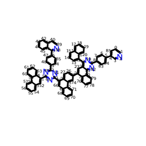 c1cncc(-c2ccc(-c3nc(-c4cccc5ccccc45)c4cc(-c5ccc6c(-c7nc(-c8ccc(-c9nccc%10ccccc9%10)cc8)nc(-c8cc9ccccc9c9ccccc89)n7)cc7ccccc7c6c5)c5ccccc5c4n3)cc2)c1